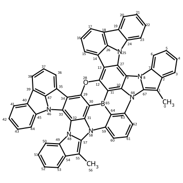 Cc1c2ccccc2n2c3c4c5c(c6c7cccc8c9ccccc9n(c87)c63)Oc3c6c7c(c8c3c3cccc9c%10ccccc%10n8c93)n3c8ccccc8c(C)c3n7-c3cccc(c3B56)-n4c12